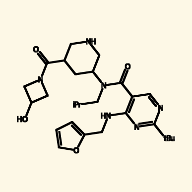 CC(C)CN(C(=O)c1cnc(C(C)(C)C)nc1NCc1ccco1)C1CNCC(C(=O)N2CC(O)C2)C1